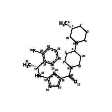 C[C@@H]1CCCN(C2CCN(C(=O)c3cnc(N[C@H](C)c4ncccc4F)s3)CC2)C1